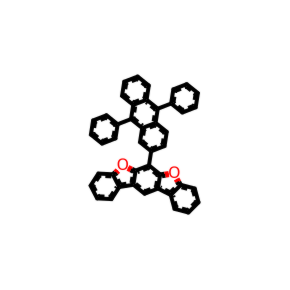 c1ccc(-c2c3ccccc3c(-c3ccccc3)c3cc(-c4c5oc6ccccc6c5cc5c4oc4ccccc45)ccc23)cc1